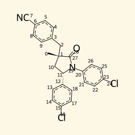 C[C@]1(Cc2ccc(C#N)cc2)C[C@@H](c2ccc(Cl)cc2)N(c2ccc(Cl)cc2)C1=O